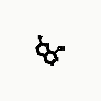 Oc1nncc2ccc(Br)nc12